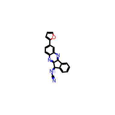 N#C/N=C1\c2ccccc2-c2nc3cc(-c4ccco4)ccc3nc21